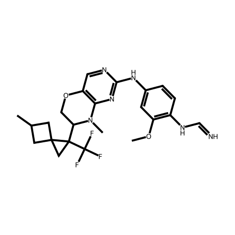 COc1cc(Nc2ncc3c(n2)N(C)C(C2(C(F)(F)F)CC24CC(C)C4)CO3)ccc1NC=N